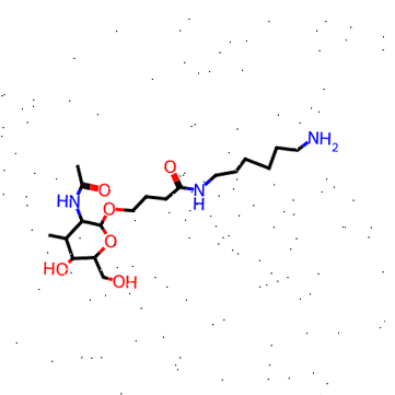 CC(=O)NC1C(OCCCC(=O)NCCCCCCN)OC(CO)C(O)C1C